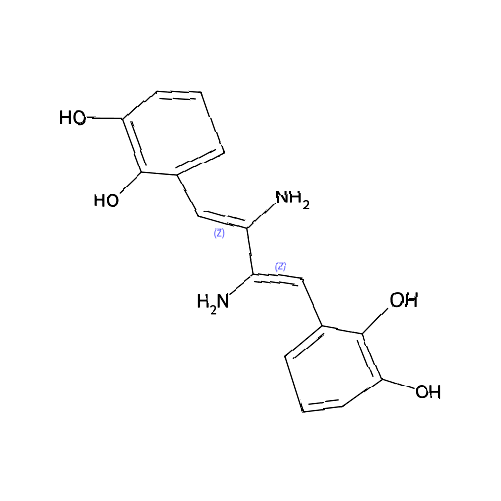 NC(=C\c1cccc(O)c1O)/C(N)=C/c1cccc(O)c1O